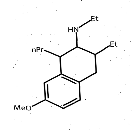 CCCC1c2cc(OC)ccc2CC(CC)C1NCC